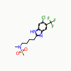 CN(CCCCc1nc2cc(C(F)(F)F)c(Cl)cc2[nH]1)S(C)(=O)=O